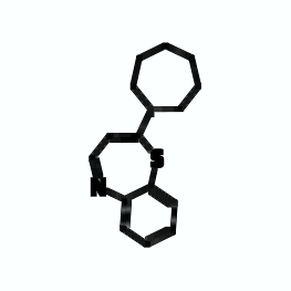 C1=Nc2ccccc2SC([C]2CCCCCC2)=C1